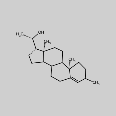 CC1C=C2CCC3C(CC[C@@]4(C)C3CC[C@@H]4[C@H](C)O)[C@@]2(C)CC1